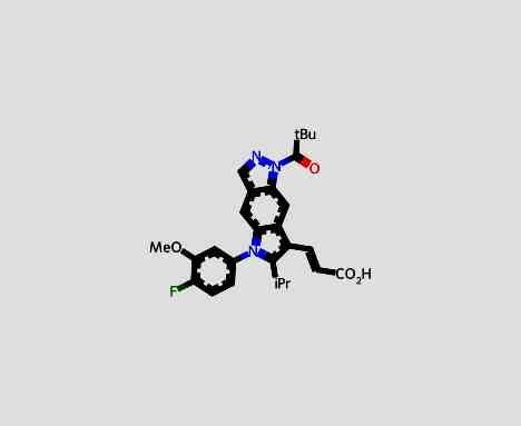 COc1cc(-n2c(C(C)C)c(/C=C/C(=O)O)c3cc4c(cnn4C(=O)C(C)(C)C)cc32)ccc1F